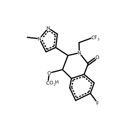 Cn1cc(C2C(OC(=O)O)c3ccc(F)cc3C(=O)N2CC(F)(F)F)cn1